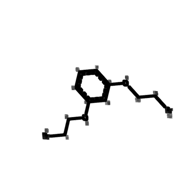 BrCCOc1cccc(OCCBr)c1